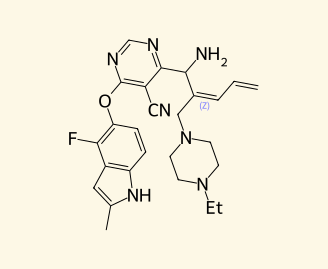 C=C/C=C(/CN1CCN(CC)CC1)C(N)c1ncnc(Oc2ccc3[nH]c(C)cc3c2F)c1C#N